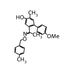 COc1ccc(-c2cc(C)c(O)cc2/C(C)=N/OCc2ccc(C)cc2)cc1